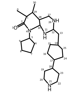 CC1C(=O)N(C2CCCC2)C2NC(CC3CCC(C4CCNCC4)CC3)NCC2C1C